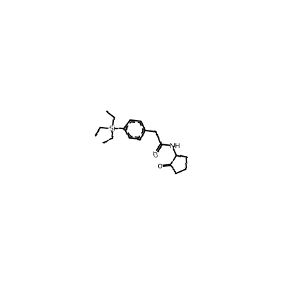 CC[Si](CC)(CC)c1ccc(CC(=O)NC2CCCC2=O)cc1